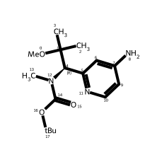 COC(C)(C)[C@@H](c1cc(N)ccn1)N(C)C(=O)OC(C)(C)C